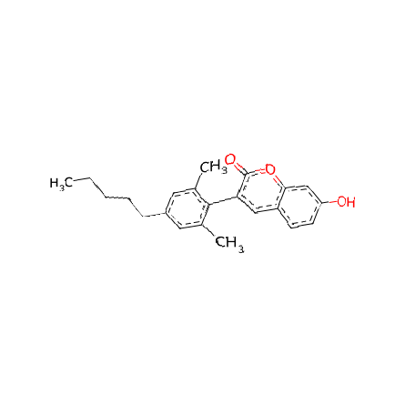 CCCCCc1cc(C)c(-c2cc3ccc(O)cc3oc2=O)c(C)c1